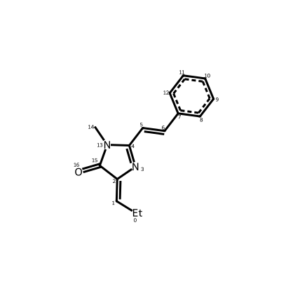 CC/C=C1N=C(/C=C/c2ccccc2)N(C)C\1=O